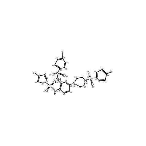 Cc1ccc(S(=O)(=O)Nc2ccc(N3CCN(S(=O)(=O)c4ccc(C)cc4)CC3)cc2NS(=O)(=O)c2ccc(C)cc2)cc1